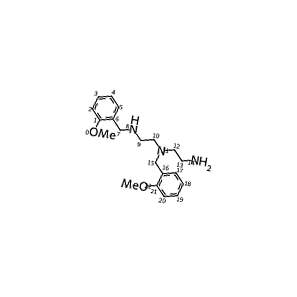 COc1ccccc1CNCCN(CCN)Cc1ccccc1OC